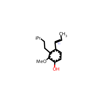 C/C=C/c1ccc(O)c(OC)c1CCC(C)C